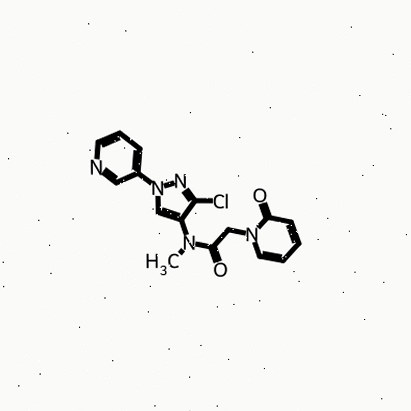 CN(C(=O)Cn1ccccc1=O)c1cn(-c2cccnc2)nc1Cl